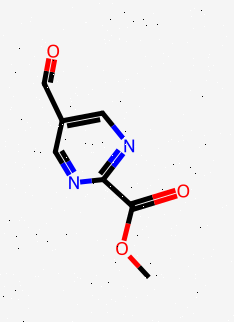 COC(=O)c1ncc(C=O)cn1